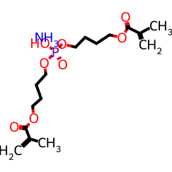 C=C(C)C(=O)OCCCCOP(=O)(O)OCCCCOC(=O)C(=C)C.N